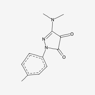 Cc1ccc(N2N=C(N(C)C)C(=O)C2=O)cc1